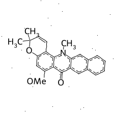 COc1cc2c(c3c1c(=O)c1cc4ccccc4cc1n3C)C=CC(C)(C)O2